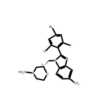 Cc1ccc2c(c1)nc(-c1c(F)cc(Br)cc1Cl)n2C[C@H]1CN(C(=O)O)CCO1